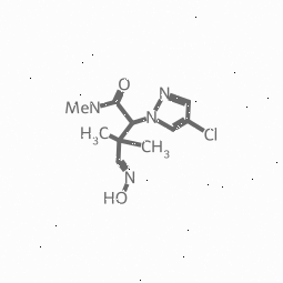 CNC(=O)C(n1cc(Cl)cn1)C(C)(C)C=NO